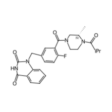 CC(C)C(=O)N1CCN(C(=O)c2cc(Cn3c(=O)[nH]c(=O)c4ccccc43)ccc2F)C[C@@H]1C